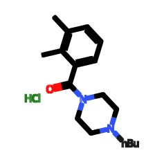 CCCCN1CCN(C(=O)c2cccc(C)c2C)CC1.Cl